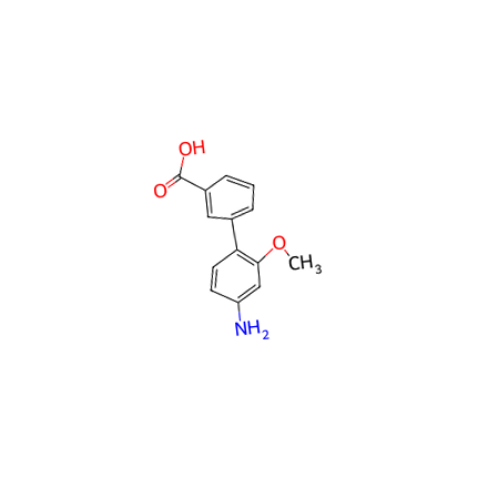 COc1cc(N)ccc1-c1cccc(C(=O)O)c1